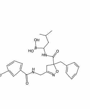 CC(C)CC(NC(=O)C1(Cc2ccccc2)CC(CNC(=O)c2cccc(C#N)c2)=NO1)B(O)O